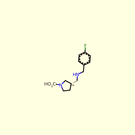 O=C(O)N1CC[C@@H](CNCc2ccc(F)cc2)C1